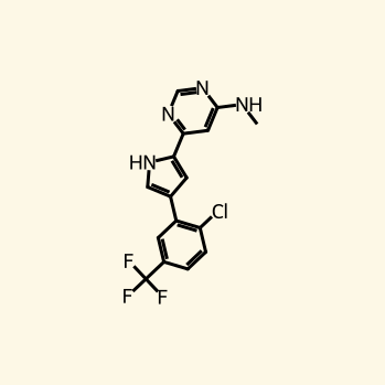 CNc1cc(-c2cc(-c3cc(C(F)(F)F)ccc3Cl)c[nH]2)ncn1